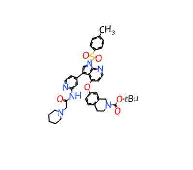 Cc1ccc(S(=O)(=O)n2cc(-c3ccnc(NC(=O)CN4CCCCC4)c3)c3c(Oc4ccc5c(c4)CN(C(=O)OC(C)(C)C)CC5)ccnc32)cc1